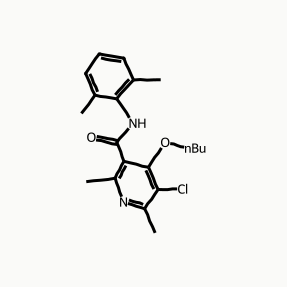 CCCCOc1c(Cl)c(C)nc(C)c1C(=O)Nc1c(C)cccc1C